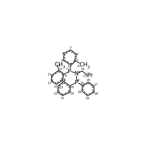 Cc1ccccc1P(c1ccccc1C)N(CC(C)C)P(c1ccccc1)c1ccccc1